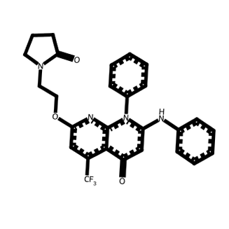 O=C1CCCN1CCOc1cc(C(F)(F)F)c2c(=O)cc(Nc3ccccc3)n(-c3ccccc3)c2n1